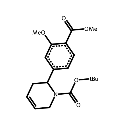 COC(=O)c1ccc(C2CC=CCN2C(=O)OC(C)(C)C)cc1OC